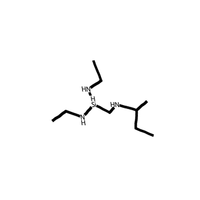 CCN[SiH](CNC(C)CC)NCC